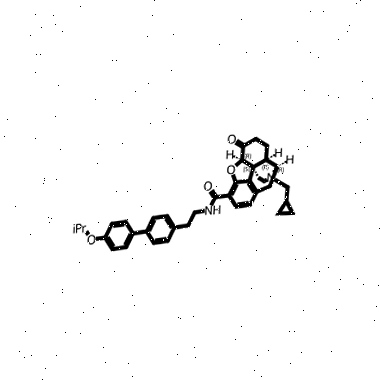 CC(C)Oc1ccc(-c2ccc(CCNC(=O)c3ccc4c5c3O[C@H]3C(=O)CC[C@H]6[C@@H](C4)N(CC4CC4)CC[C@]536)cc2)cc1